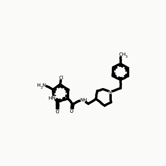 Cc1ccc(CN2CCC(CNC(=O)c3cc(Cl)c(N)[nH]c3=O)CC2)cc1